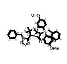 COc1ccc([N+](Cc2ccccc2)(c2ccc(OC)cc2)C2C(=O)N3C(c4nnnn4Cc4ccccc4)C(C)(C)S[C@@H]23)cc1